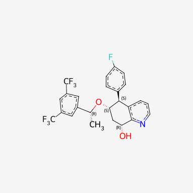 C[C@@H](O[C@H]1C[C@@H](O)c2ncccc2[C@@H]1c1ccc(F)cc1)c1cc(C(F)(F)F)cc(C(F)(F)F)c1